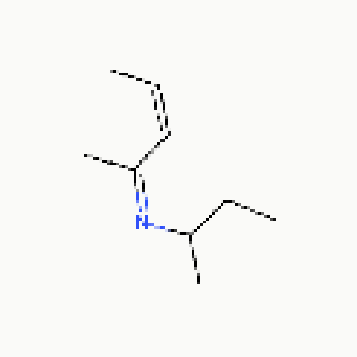 C/C=C\C(C)=N/C(C)CC